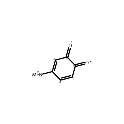 CNC1=CC(=O)C(=O)C=C1